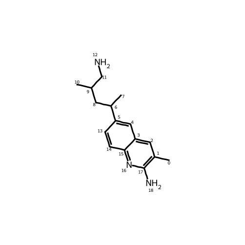 Cc1cc2cc(C(C)CC(C)CN)ccc2nc1N